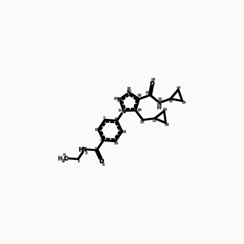 CCNC(=O)c1ccc(-n2nnc(C(=O)NC3CC3)c2CC2CC2)cc1